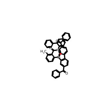 Cc1cccc(-n2c3cc(C(=O)c4ccccc4)ccc3c3ccc(C(=O)c4ccccc4)cc32)c1C(=O)N(C=O)c1ccccc1-c1ccccc1